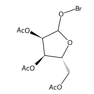 CC(=O)OC[C@H]1OC(OBr)[C@H](OC(C)=O)[C@@H]1OC(C)=O